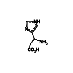 NC(CC(=O)O)c1c[nH]cn1